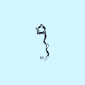 CCCOCCn1[c]nnn1